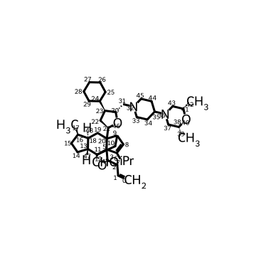 C=CCC(=O)C12C(C(C)C)=CC3CC1(C=O)[C@@H]1CC[C@@H](C)[C@H]1CC32[C@H]1C[C@@H](C2CCCCC2)[C@H](CN2CCC(N3C[C@@H](C)O[C@@H](C)C3)CC2)O1